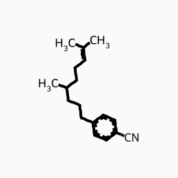 CC(C)=CCCC(C)CCCc1ccc(C#N)cc1